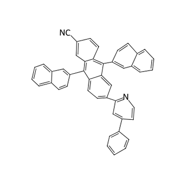 N#Cc1ccc2c(-c3ccc4ccccc4c3)c3cc(-c4cc(-c5ccccc5)ccn4)ccc3c(-c3ccc4ccccc4c3)c2c1